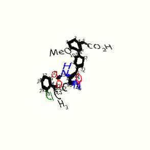 COc1ccc(CC(=O)O)cc1-c1ccc(-c2onc(C)c2NC(=O)OC(C)c2ccccc2Cl)cc1